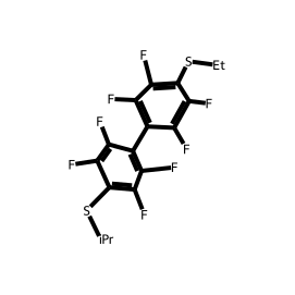 CCSc1c(F)c(F)c(-c2c(F)c(F)c(SC(C)C)c(F)c2F)c(F)c1F